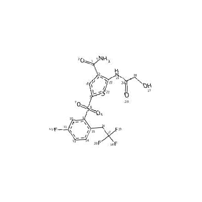 NC(=O)c1cc(S(=O)(=O)c2cc(F)ccc2CC(F)(F)F)sc1NC(=O)CO